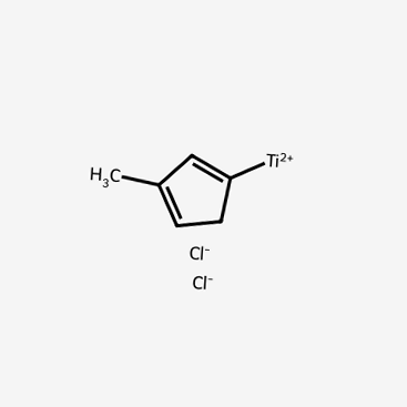 CC1=CC[C]([Ti+2])=C1.[Cl-].[Cl-]